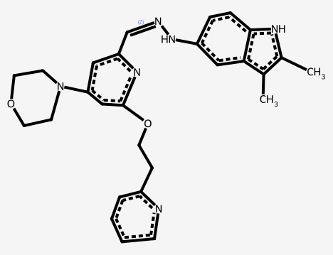 Cc1[nH]c2ccc(N/N=C\c3cc(N4CCOCC4)cc(OCCc4ccccn4)n3)cc2c1C